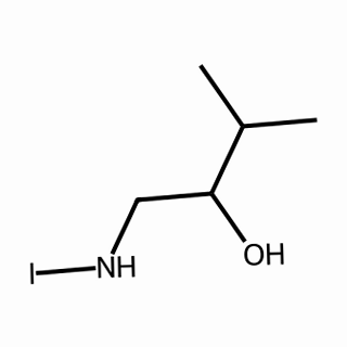 CC(C)C(O)CNI